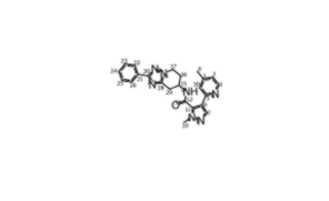 Cc1ccnc(-c2cnn(C)c2C(=O)NC2CCn3nc(-c4ccccc4)nc3C2)c1